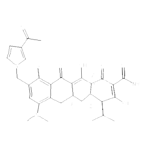 CC(=O)c1ccn(Cc2cc(N(C)C)c3c(c2O)C(=O)C2=C(O)[C@@]4(O)C(=O)C(C(N)=O)=C(O)C(C(C)C)[C@H]4C[C@H]2C3)c1